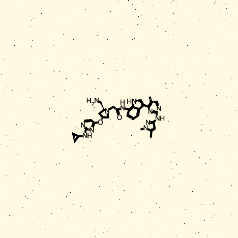 Cc1cnc(Nc2cc(C)n(C)n2)nc1-c1c[nH]c2c(NC(=O)CN3C[C@@H](Oc4ccnc(NC5CC5)n4)C[C@H]3CN)cccc12